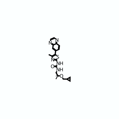 Cc1nc(NC(=O)NC[C@H](C)OCC2CC2)sc1-c1ccc2nccnc2c1